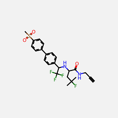 C#CCNC(=O)C(CC(C)(C)F)NC(c1ccc(-c2ccc(S(C)(=O)=O)cc2)cc1)C(F)(F)F